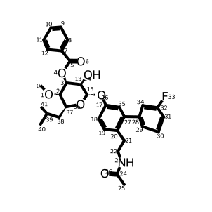 CO[C@@H]1[C@@H](OC(=O)c2ccccc2)[C@@H](O)[C@H](Oc2ccc(CCNC(C)=O)c(-c3cccc(F)c3)c2)O[C@H]1CC(C)C